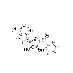 Nc1ncnc2c1ncn2[C@@H]1O[C@H](C(Cl)C2CCCCC2)[C@@H](O)[C@H]1O